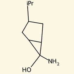 CC(C)C1CC2C(C1)C2(N)O